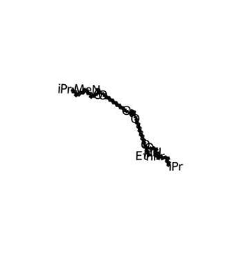 CCCC(CC)NCC(COCCCCCCCCCCCCOC[C@H]1CC[C@@H](COCCCCCCCCCCCCOC[C@@H](CNC)OCCC(C)CCCC(C)CCCC(C)CCCC(C)C)C1)OCCC(C)CCCC(C)CCCC(C)CCCC(C)C